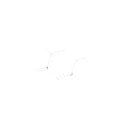 Cc1cn(C=O)c(=O)[nH]c1=O